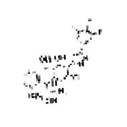 CC(C)(O)C(c1ccccc1C(F)(F)F)[SH]1C[C@H](O)[C@H](n2cc(-c3cc(F)c(F)c(F)c3)nn2)[C@@H](O)[C@H]1CO